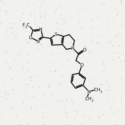 CN(C)c1cccc(OCC(=O)N2CCc3sc(-c4noc(C(F)(F)F)n4)cc3C2)c1